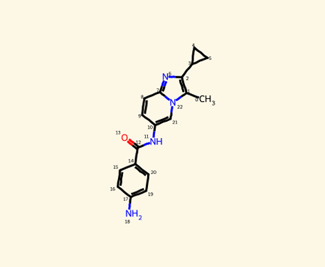 Cc1c(C2CC2)nc2ccc(NC(=O)c3ccc(N)cc3)cn12